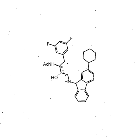 CC(=O)N[C@@H](Cc1cc(F)cc(F)c1)[C@@H](O)CNC1c2ccccc2-c2ccc(C3CCCCC3)cc21